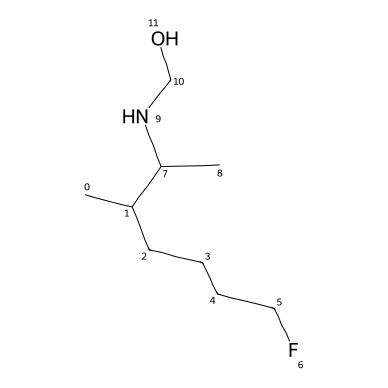 CC(CCCCF)C(C)NCO